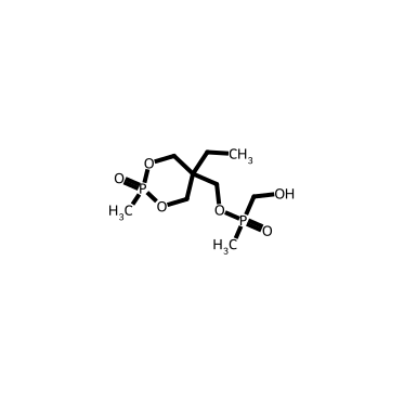 CCC1(COP(C)(=O)CO)COP(C)(=O)OC1